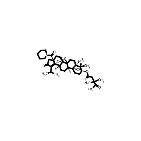 CC(C)C1=C2[C@H]3CC[C@@H]4[C@@]5(C)CC[C@H](OC(=O)CC(C)(C)C(=O)O)C(C)(C)[C@@H]5CC[C@@]4(C)[C@]3(C)CC[C@@]2(C(=O)N2CCCCC2)CC1=O